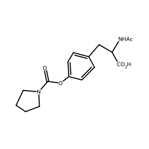 CC(=O)NC(Cc1ccc(OC(=O)N2CCCC2)cc1)C(=O)O